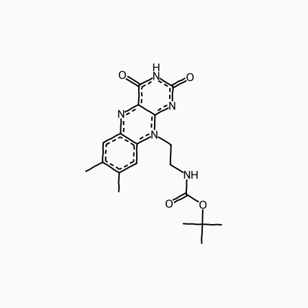 Cc1cc2nc3c(=O)[nH]c(=O)nc-3n(CCNC(=O)OC(C)(C)C)c2cc1C